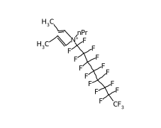 CC=C[N+](C=CC)(CCC)C(F)(F)C(F)(F)C(F)(F)C(F)(F)C(F)(F)C(F)(F)C(F)(F)C(F)(F)F